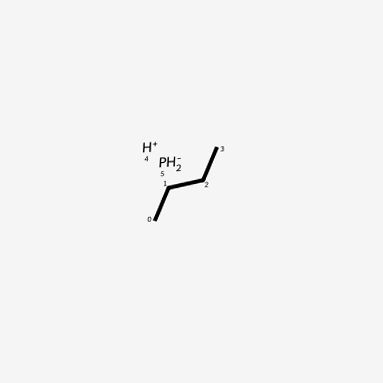 CCCC.[H+].[PH2-]